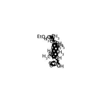 C=C(C)[C@@H]1CC[C@]2(NCCC(CO)N3CCS(=O)(=O)CC3)CC[C@]3(C)[C@H](CC[C@@H]4[C@@]5(C)CC[C@H](OC(=O)CC(C)(C)CC(=O)OCC)C(C)(C)[C@@H]5CC[C@]43C)C12